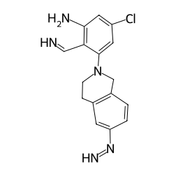 N=Cc1c(N)cc(Cl)cc1N1CCc2cc(N=N)ccc2C1